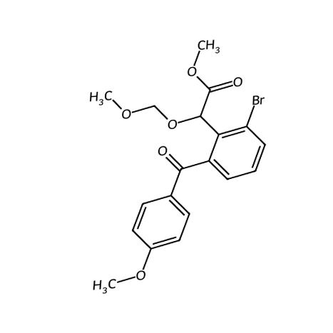 COCOC(C(=O)OC)c1c(Br)cccc1C(=O)c1ccc(OC)cc1